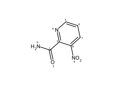 NC(=O)c1ncccc1[N+](=O)[O-]